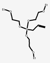 C=CC[Si](OCCOCC)(OCCOCC)OCCOCC